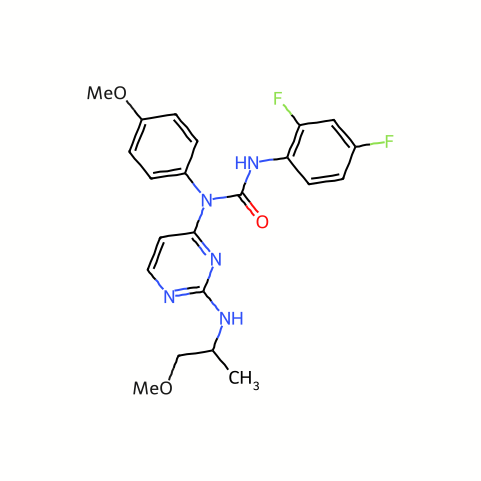 COCC(C)Nc1nccc(N(C(=O)Nc2ccc(F)cc2F)c2ccc(OC)cc2)n1